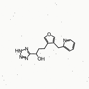 OC(CCc1cocc1Cc1ccccn1)c1nn[nH]n1